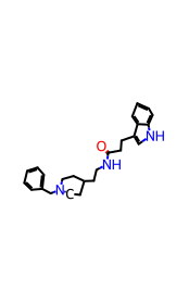 O=C(CCc1c[nH]c2ccccc12)NCCC1CCN(Cc2ccccc2)CC1